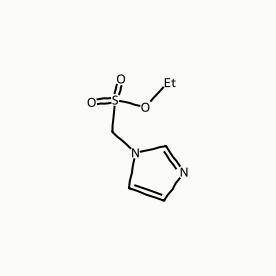 CCOS(=O)(=O)Cn1ccnc1